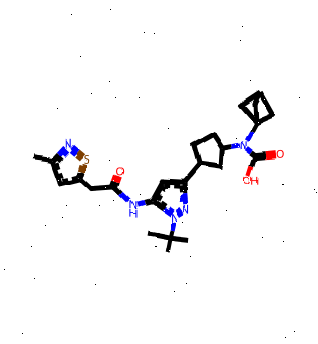 Cc1cc(CC(=O)Nc2cc(C3CCC(N(C(=O)O)C45CC(C4)C5)C3)nn2C(C)(C)C)sn1